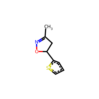 CC1=NOC(c2cccs2)C1